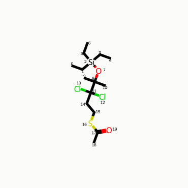 CC[Si](CC)(CC)OC(C)(C)C(Cl)(Cl)CCSC(C)=O